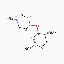 COc1ccc(C#N)cc1OC1CCN(C(C)(C)C)CC1